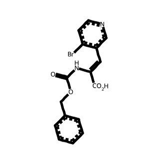 O=C(NC(=Cc1cnccc1Br)C(=O)O)OCc1ccccc1